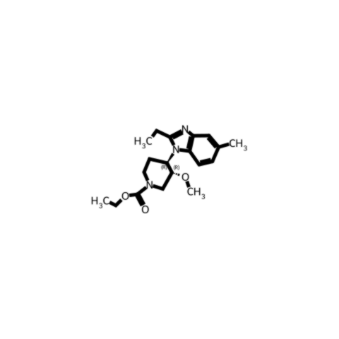 CCOC(=O)N1CC[C@@H](n2c(CC)nc3cc(C)ccc32)[C@H](OC)C1